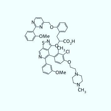 COc1cccc(-c2ncc3snc(OC(Cc4ccccc4OCc4ccnc(-c5ccccc5OC)n4)C(=O)O)c3c2-c2ccc(OCCN3CCN(C)CC3)c(Cl)c2C)c1